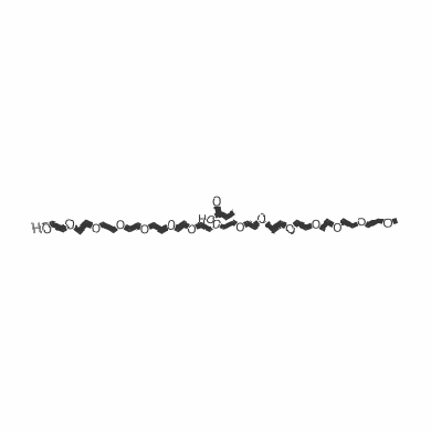 CCC(=O)O.COCCOCCOCCOCCOCCOCCOCCOCCOCCOCCOCCOCCOCCOCCO